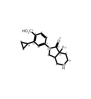 O=C(O)c1ccc(N2CC3CNCCC3(F)C2=O)cc1C1CC1